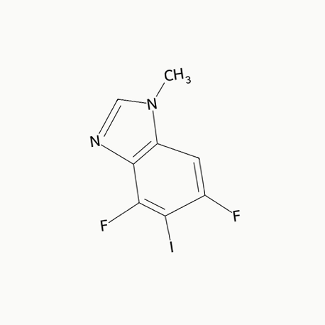 Cn1cnc2c(F)c(I)c(F)cc21